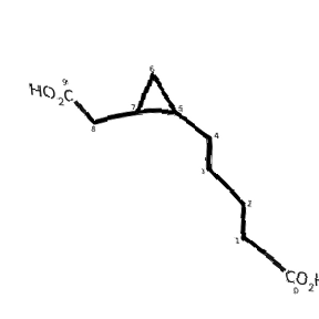 O=C(O)CCCCC1CC1CC(=O)O